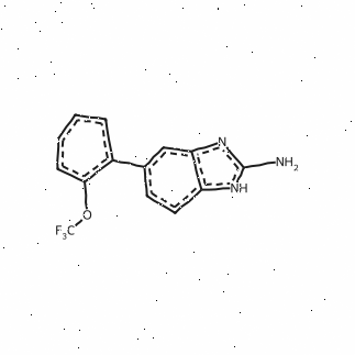 Nc1nc2cc(-c3ccccc3OC(F)(F)F)ccc2[nH]1